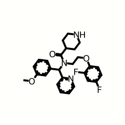 COc1cccc(C(c2ccccn2)N(CCOc2ccc(F)cc2F)C(=O)C2CCNCC2)c1